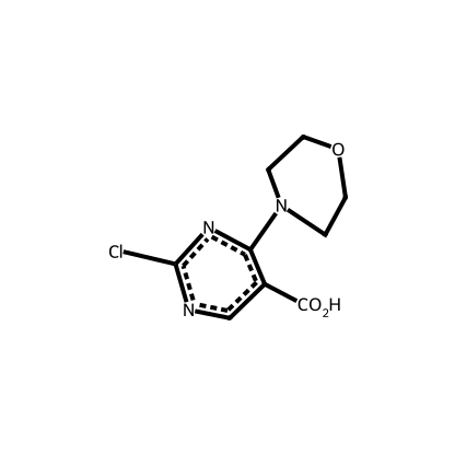 O=C(O)c1cnc(Cl)nc1N1CCOCC1